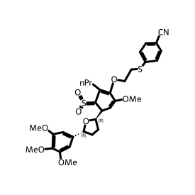 CCCC1=C(OCCSc2ccc(C#N)cc2)C(OC)=CC([C@H]2CC[C@H](c3cc(OC)c(OC)c(OC)c3)O2)C1=S(=O)=O